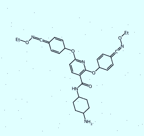 CCON=C=C1C=CC(Oc2ccc(C(=O)NC3CCC(N)CC3)c(OC3C=CC(=C=NOCC)C=C3)n2)C=C1